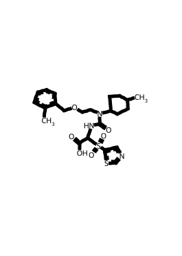 Cc1ccccc1COCCN(C(=O)NC(C(=O)O)S(=O)(=O)c1cncs1)C1CCC(C)CC1